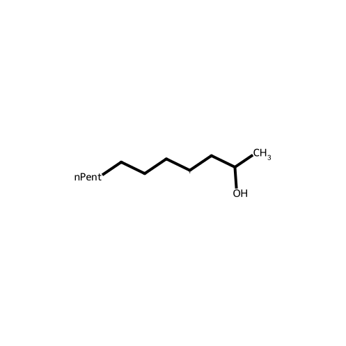 CCCCCCCC[CH]CC(C)O